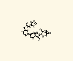 CN(Cc1ccnc(-c2ccc3c(c2)CN(C2CCC(=O)NC2=O)C3=O)c1)CC1CCOC1